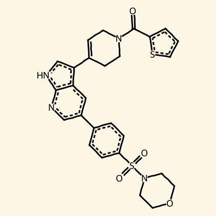 O=C(c1cccs1)N1CC=C(c2c[nH]c3ncc(-c4ccc(S(=O)(=O)N5CCOCC5)cc4)cc23)CC1